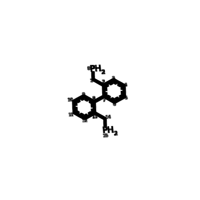 PCc1ccccc1-c1ccccc1CP